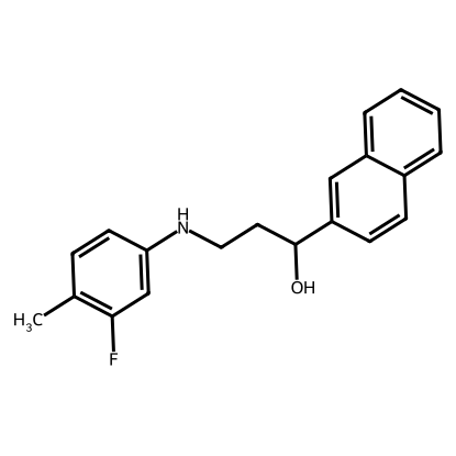 Cc1ccc(NCCC(O)c2ccc3ccccc3c2)cc1F